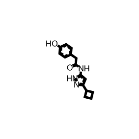 O=C(Cc1ccc(O)cc1)Nc1cc(C2CCC2)n[nH]1